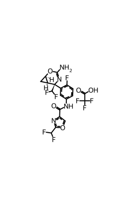 NC1=N[C@@](c2cc(NC(=O)c3coc(C(F)F)n3)ccc2F)(C(F)F)[C@H]2C[C@H]2O1.O=C(O)C(F)(F)F